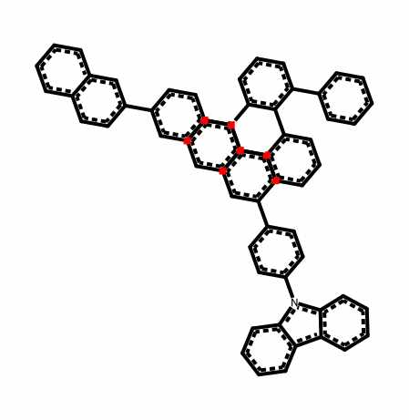 c1ccc(-c2ccccc2-c2c(-c3ccccc3)cccc2N(c2ccc(-c3ccc(-n4c5ccccc5c5ccccc54)cc3)cc2)c2ccc(-c3ccc4ccccc4c3)cc2)cc1